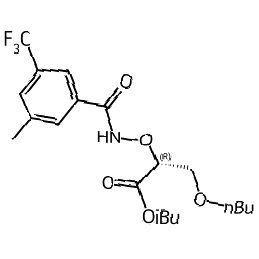 CCCCOC[C@@H](ONC(=O)c1cc(C)cc(C(F)(F)F)c1)C(=O)OCC(C)C